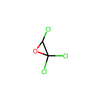 ClC1OC1(Cl)Cl